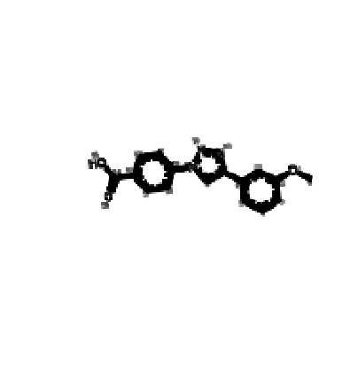 COc1cccc(-c2cn(-c3ccc(C(=O)O)cc3)nn2)c1